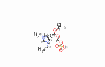 CCOC(C)OCOS(=O)(=O)[O-].CC[n+]1ccn(C)c1